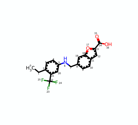 CCc1ccc(NCc2ccc3cc(C(=O)O)oc3c2)cc1C(F)(F)F